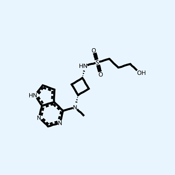 CN(c1ncnc2[nH]ccc12)[C@H]1C[C@@H](NS(=O)(=O)CCCO)C1